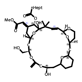 C=C1C[C@H](O)CC2CCC[C@H](C[C@@H]3CCO[C@H](/C=C/C(C)(C)[C@]4(O)O[C@@H](C/C(=C\C(=O)OC)[C@@H]4OC(=O)CCCCCCC)C[C@H](CO)O1)O3)O2